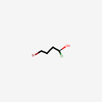 O[C@@H](Cl)CCCBr